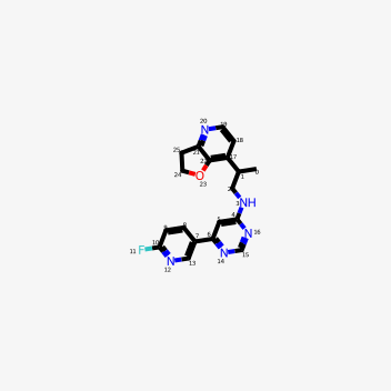 CC(CNc1cc(-c2ccc(F)nc2)ncn1)c1ccnc2c1OCC2